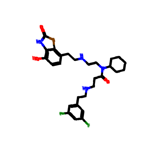 O=C(CCNCCc1cc(F)cc(F)c1)N(CCNCCc1ccc(O)c2[nH]c(=O)sc12)C1CCCCC1